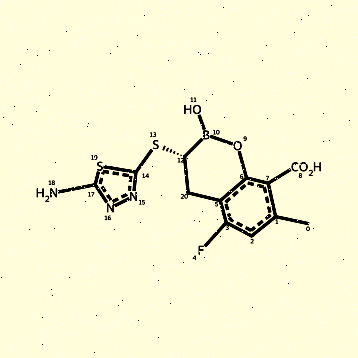 Cc1cc(F)c2c(c1C(=O)O)OB(O)[C@@H](Sc1nnc(N)s1)C2